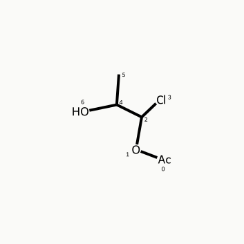 CC(=O)OC(Cl)C(C)O